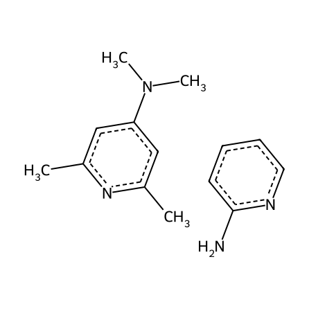 Cc1cc(N(C)C)cc(C)n1.Nc1ccccn1